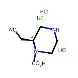 Cl.Cl.Cl.N#CC[C@H]1CNCCN1C(=O)O